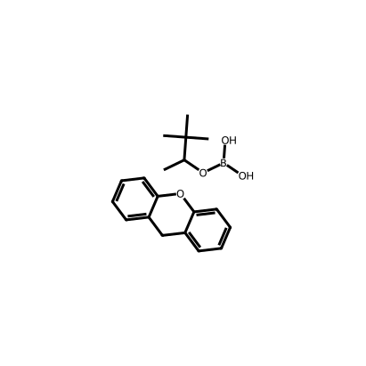 CC(OB(O)O)C(C)(C)C.c1ccc2c(c1)Cc1ccccc1O2